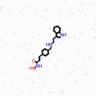 O=C(/C=C/c1ccc(CNCCc2c[nH]c3ccccc23)cc1)NO